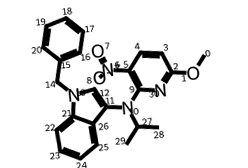 COc1ccc([N+](=O)[O-])c(N(c2cn(Cc3ccccc3)c3ccccc23)C(C)C)n1